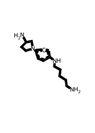 NCCCCCNc1ccc(N2CCC(N)C2)cc1